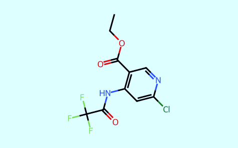 CCOC(=O)c1cnc(Cl)cc1NC(=O)C(F)(F)F